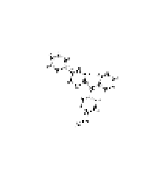 O=Cc1ccc(N(c2ccccc2)c2ccc(-c3ccncc3)cc2)cc1